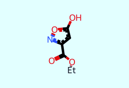 CCOC(=O)c1cc(O)on1